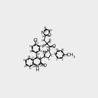 Cc1ccc([C@@H]2CC(c3c(-c4ccc(Cl)cc4)c4ccccc4[nH]c3=O)=NN2C(=O)C(F)(F)Cc2ncco2)cc1